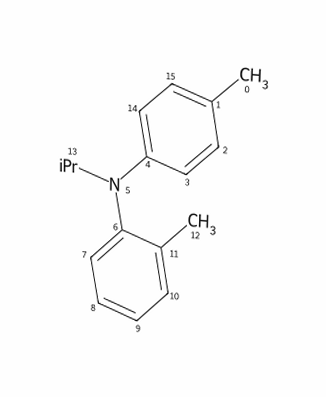 Cc1ccc(N(c2ccccc2C)C(C)C)cc1